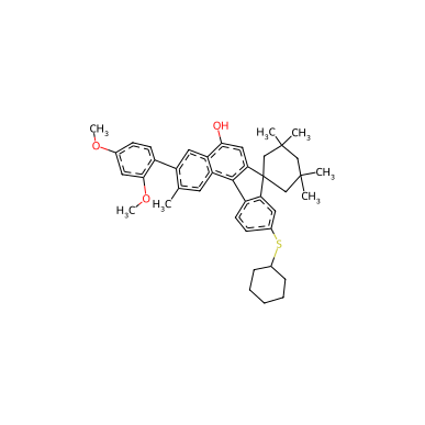 COc1ccc(-c2cc3c(O)cc4c(c3cc2C)-c2ccc(SC3CCCCC3)cc2C42CC(C)(C)CC(C)(C)C2)c(OC)c1